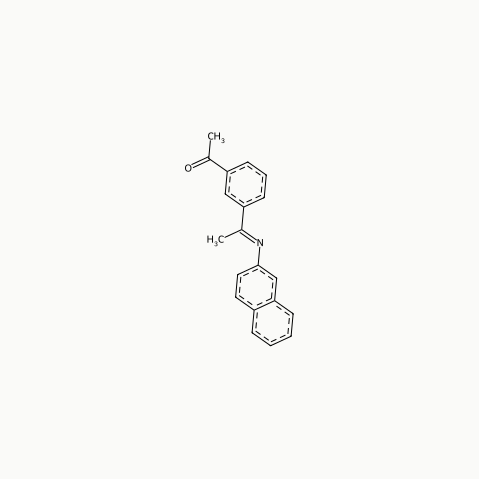 CC(=O)c1cccc(/C(C)=N/c2ccc3ccccc3c2)c1